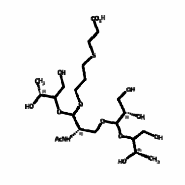 CC(=O)N[C@@H](COC(OC(CO)[C@@H](C)O)[C@@H](O)CO)C(OCCCSCCC(=O)O)OC(CO)[C@@H](C)O